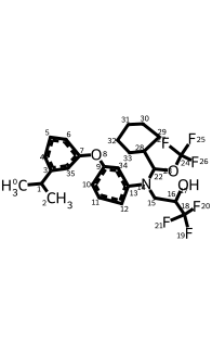 CC(C)c1cccc(Oc2cccc(N(CC(O)C(F)(F)F)C(OC(F)(F)F)C3CCCCC3)c2)c1